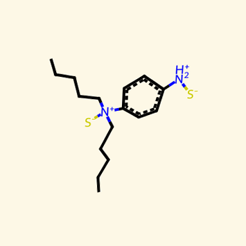 CCCCC[N+]([S-])(CCCCC)c1ccc([NH2+][S-])cc1